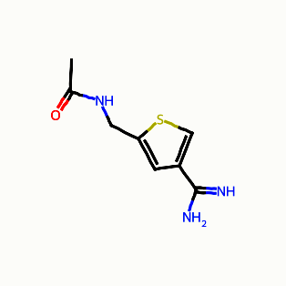 CC(=O)NCc1cc(C(=N)N)cs1